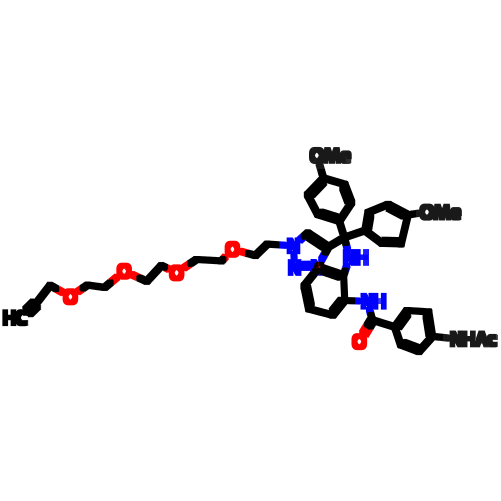 C#CCOCCOCCOCCOCCn1cc(C(Nc2ccccc2NC(=O)c2ccc(NC(C)=O)cc2)(c2ccc(OC)cc2)c2ccc(OC)cc2)nn1